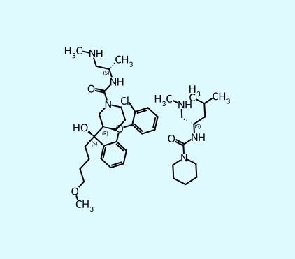 CNC[C@H](C)NC(=O)N1CCC[C@@H]([C@@](O)(CCCCOC)c2ccccc2Oc2ccccc2Cl)C1.CNC[C@H](CC(C)C)NC(=O)N1CCCCC1